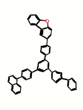 c1ccc(-c2ccc(-c3cc(-c4ccc(-c5ccc6oc7ccccc7c6c5)cc4)cc(-c4ccc(-c5cccc6ccccc56)cc4)c3)cc2)cc1